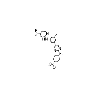 COC(=O)C1CCC(C(C)c2ncc(-c3cc(C)cc(Nc4nccc(C(F)F)n4)c3)cn2)CC1